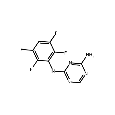 Nc1ncnc(Nc2c(F)c(F)cc(F)c2F)n1